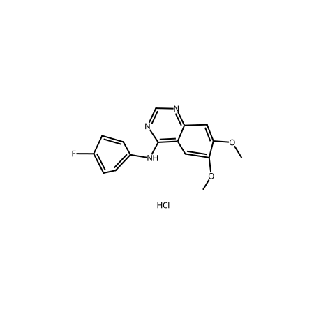 COc1cc2ncnc(Nc3ccc(F)cc3)c2cc1OC.Cl